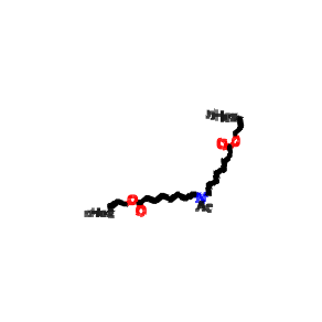 CCCCCC/C=C\COC(=O)CCCCCCCN(CCCCCCCC(=O)OC/C=C\CCCCCC)C(C)=O